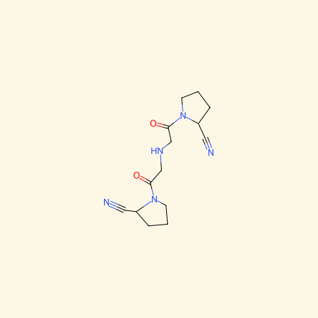 N#CC1CCCN1C(=O)CNCC(=O)N1CCCC1C#N